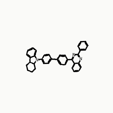 c1ccc(-c2nc(-c3ccc(-c4ccc(N5c6ccccc6C6CCCCC65)cc4)cc3)c3ccccc3n2)cc1